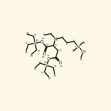 CCN(CCC[Si](C)(C)OC)C(CC(=O)O[Si](CC)(CC)CC)C(=O)O[Si](CC)(CC)CC